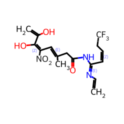 C=C/N=C(\C=C/CC(F)(F)F)NC(=O)C/C(C)=C/C(=C(/O)C(=C)O)[N+](=O)[O-]